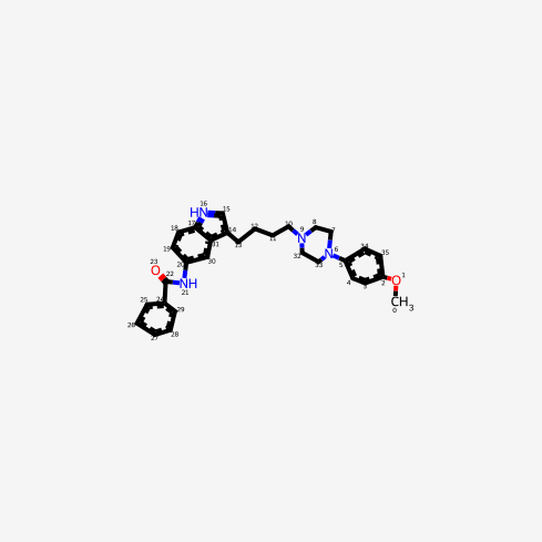 COc1ccc(N2CCN(CCCCc3c[nH]c4ccc(NC(=O)c5ccccc5)cc34)CC2)cc1